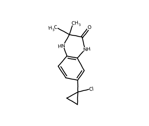 CC1(C)Nc2ccc(C3(Cl)CC3)cc2NC1=O